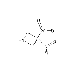 O=[N+]([O-])C1([N+](=O)[O-])CNC1